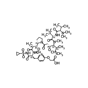 CC[C@H](C)[C@@H]([C@@H](CC(=O)N1CCC[C@H]1[C@H](OC)[C@@H](C)C(=O)N[C@@H](Cc1ccc(OCC(=O)O)cc1)C(=O)NS(=O)(=O)C1CC1)OC)N(C)C(=O)[C@@H](NC(=O)C(C(C)C)N(C)C)C(C)C